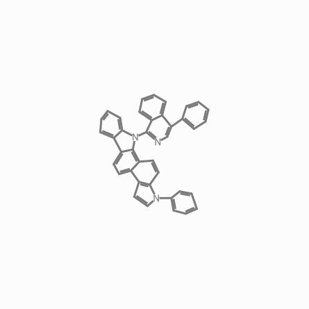 c1ccc(-c2cnc(-n3c4ccccc4c4ccc5c6ccn(-c7ccccc7)c6ccc5c43)c3ccccc23)cc1